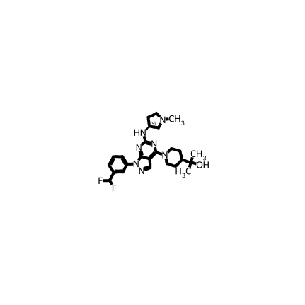 CN1CC[C@H](Nc2nc(N3CCC(C(C)(C)O)CC3)c3cnn(-c4cccc(C(F)F)c4)c3n2)C1